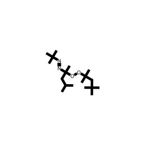 CC(C)CC(C)(/N=N/C(C)(C)C)OOC(C)(C)CC(C)(C)C